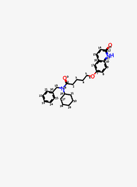 O=C(CCCCOc1ccc2[nH]c(=O)ccc2c1)N(Cc1ccccc1)C1CCCCC1